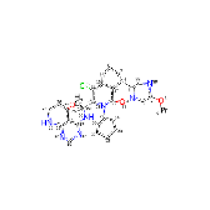 CC(C)Oc1cnc(-c2cccc3c(Cl)c([C@H](C)Nc4ncnc5[nH]ccc(=O)c45)n(-c4ccccc4)c(=O)c23)cn1